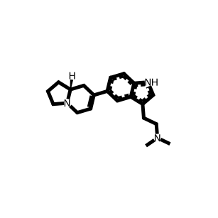 CN(C)CCc1c[nH]c2ccc(C3=CCN4CCC[C@@H]4C3)cc12